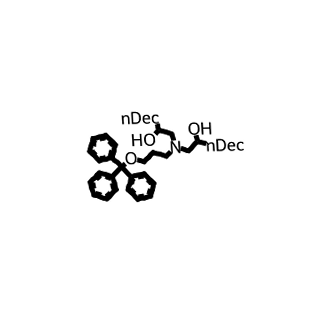 CCCCCCCCCCC(O)CN(CCCOC(c1ccccc1)(c1ccccc1)c1ccccc1)CC(O)CCCCCCCCCC